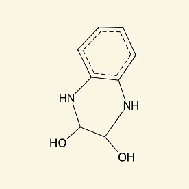 OC1Nc2ccccc2NC1O